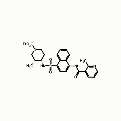 CCOC(=O)N1CC[C@H](NS(=O)(=O)c2ccc(NC(=O)c3cccnc3C)c3ccccc23)[C@H](C)C1